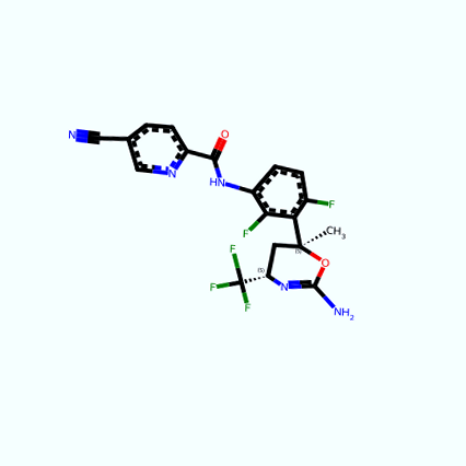 C[C@@]1(c2c(F)ccc(NC(=O)c3ccc(C#N)cn3)c2F)C[C@@H](C(F)(F)F)N=C(N)O1